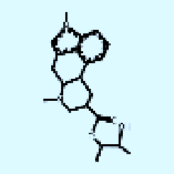 CC(O)C(C)OC(=O)C1CC2c3cccc4c3c(cn4C)CC2N(C)C1